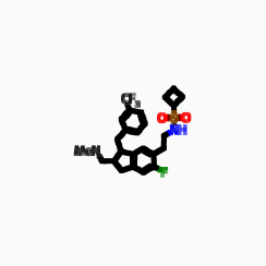 CNCC1Cc2cc(F)c(CCNS(=O)(=O)C3CCC3)cc2C1Cc1cccc(C(F)(F)F)c1